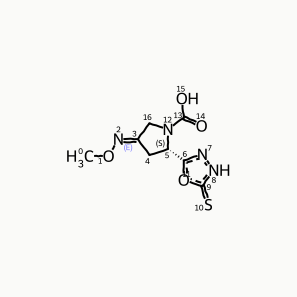 CO/N=C1\C[C@@H](c2n[nH]c(=S)o2)N(C(=O)O)C1